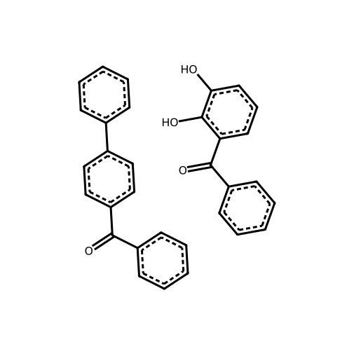 O=C(c1ccccc1)c1ccc(-c2ccccc2)cc1.O=C(c1ccccc1)c1cccc(O)c1O